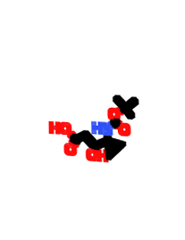 CC(C)(C)OC(=O)NC1(C(O)=CC(=O)O)CC1